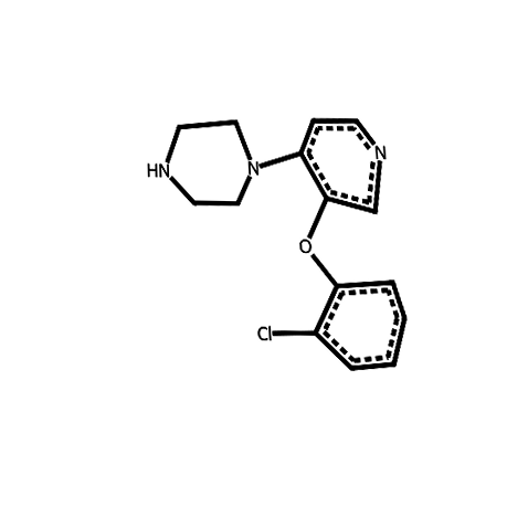 Clc1ccccc1Oc1cnccc1N1CCNCC1